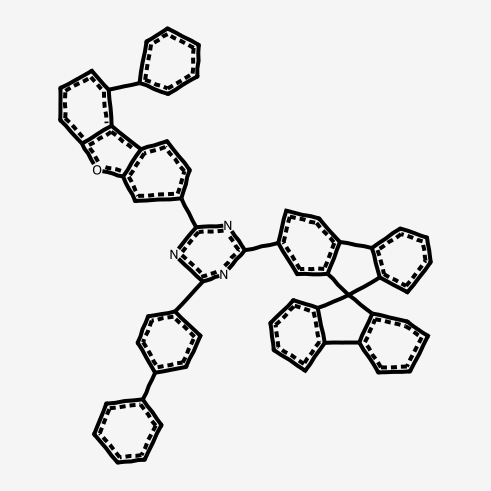 c1ccc(-c2ccc(-c3nc(-c4ccc5c(c4)C4(c6ccccc6-c6ccccc64)c4ccccc4-5)nc(-c4ccc5c(c4)oc4cccc(-c6ccccc6)c45)n3)cc2)cc1